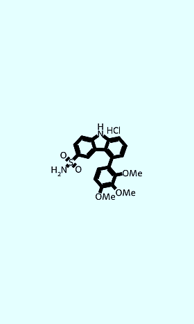 COc1ccc(-c2cccc3[nH]c4ccc(S(N)(=O)=O)cc4c23)c(OC)c1OC.Cl